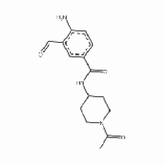 CC(=O)N1CCC(NC(=O)c2ccc(N)c(C=O)c2)CC1